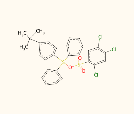 CC(C)(C)c1ccc(S(OS(=O)(=O)c2cc(Cl)c(Cl)cc2Cl)(c2ccccc2)c2ccccc2)cc1